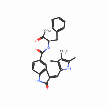 COC(=O)[C@@H](Cc1ccccc1)NC(=O)c1ccc2c(c1)C(=Cc1[nH]c(C)c(C(=O)O)c1C)C(=O)N2